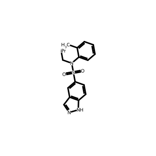 Cc1ccccc1N(CC(C)C)S(=O)(=O)c1ccc2[nH]ncc2c1